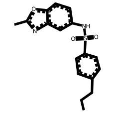 CCCc1ccc(S(=O)(=O)Nc2ccc3oc(C)nc3c2)cc1